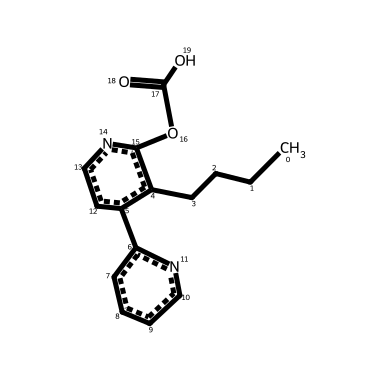 CCCCc1c(-c2ccccn2)ccnc1OC(=O)O